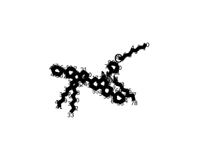 CCCCCCCCOc1ccc(-c2nc3c4cc(-c5ccc6c(c5)C(CCCCCCCC)(CCCCCCCC)c5cc(-c7ccccc7)ccc5-6)ccc4c4ccc(-c5ccccc5)cc4c3n2CCCCCCCC)cc1